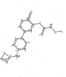 CCNC(=O)Cn1nc(-c2cnc(NC34CC(C3)C4)nc2)ccc1=O